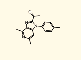 CC(=O)c1nc2c(C)nc(C)cc2n1-c1ccc(C)cc1